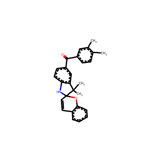 Cc1ccc(C(=O)c2ccc3c(c2)C(C)(C)C2(C=Cc4ccccc4O2)N3)cc1C